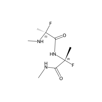 CNC(=O)[C@@](C)(F)NC(=O)[C@](C)(F)NC